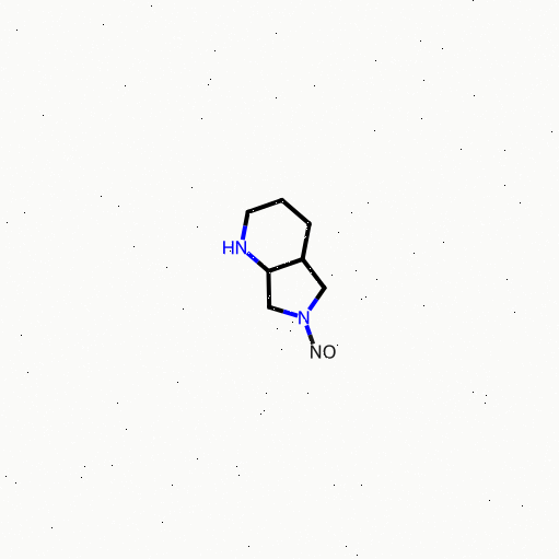 O=NN1CC2CCCNC2C1